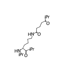 CC(C)NC(CCCCNC(=O)CCCC(=O)C(C)C)C(=O)C(C)C